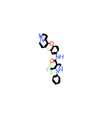 O=C(Nc1ccc(Oc2cccn3nccc23)c(F)c1)c1cnn(-c2ccccc2)c1C(F)(F)F